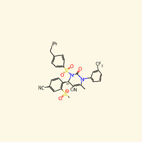 CC1=C(C#N)[C@@H](c2ccc(C#N)cc2S(C)(=O)=O)N(S(=O)(=O)c2ccc(CC(C)C)cc2)C(=O)N1c1cccc(C(F)(F)F)c1